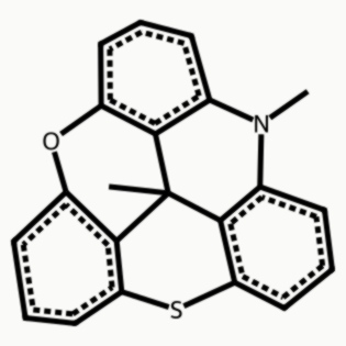 CN1c2cccc3c2C2(C)c4c(cccc4Sc4cccc1c42)O3